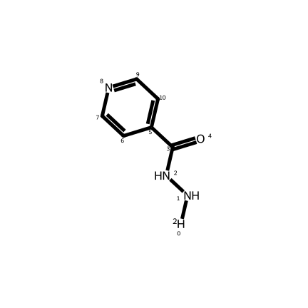 [2H]NNC(=O)c1ccncc1